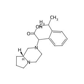 CC(C)c1ccccc1C(C(=O)O)N1CCN2CCC[C@@H]2C1